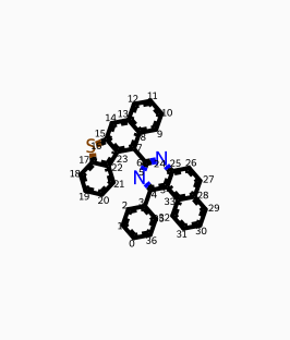 c1ccc(-c2nc(-c3c4ccccc4cc4sc5ccccc5c34)nc3ccc4ccccc4c23)cc1